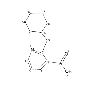 O=C(O)c1cccnc1CC1CCCCC1